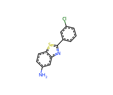 Nc1ccc2sc(-c3cccc(Cl)c3)nc2c1